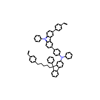 C=Cc1ccc(CCCCCC2(c3ccccc3)c3ccccc3-c3ccc(N(c4ccccc4)c4ccc(-c5ccc6c(c5)c5cc(-c7ccc(C=C)cc7)ccc5n6-c5ccccc5)cc4)cc32)cc1